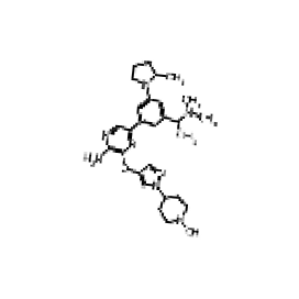 CC(c1cc(-c2cnc(N)c(Oc3cnn(C4CCN(C)CC4)c3)n2)cc(N2CCCC2C)c1)N(C)C